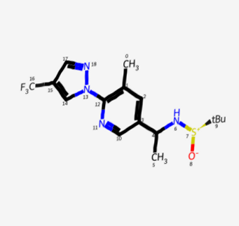 Cc1cc(C(C)N[S@+]([O-])C(C)(C)C)cnc1-n1cc(C(F)(F)F)cn1